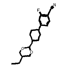 CCC1COC(C2CCC(c3ccc(C#N)c(F)c3)CC2)OC1